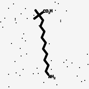 CC(C)(CCCCCCCCCCN)C(=O)O